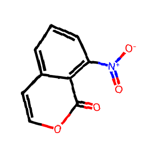 O=c1occc2cccc([N+](=O)[O-])c12